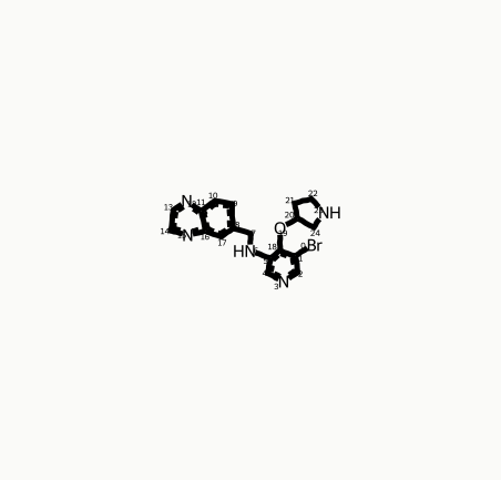 Brc1cncc(NCc2ccc3nccnc3c2)c1OC1CCNC1